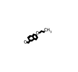 CCCCOc1ccc2cc(C=O)ccc2c1